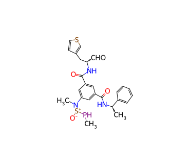 CP[S+]([O-])N(C)c1cc(C(=O)N[C@H](C=O)Cc2ccsc2)cc(C(=O)N[C@H](C)c2ccccc2)c1